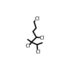 CC(Cl)C(C)(Cl)C(Cl)CCCCl